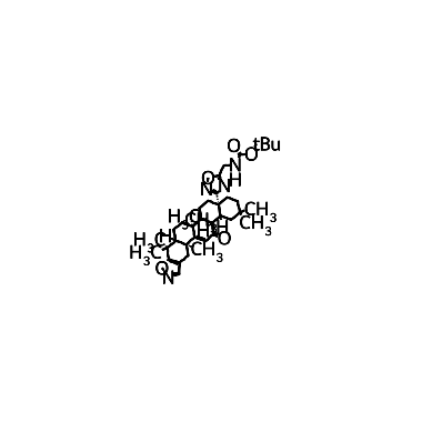 CC1(C)CC[C@]2(c3noc(CNC(=O)OC(C)(C)C)n3)CC[C@]3(C)[C@H](C(=O)C=C4[C@@]5(C)Cc6cnoc6C(C)(C)[C@@H]5CC[C@]43C)[C@@H]2C1